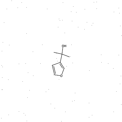 CC(C)(O)c1c[c]oc1